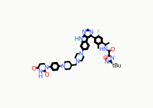 Cc1cc(-c2ncnc3[nH]c4cc(N5CCN(CC6CCN(c7ccc(N8CCC(=O)NC8=O)cc7)CC6)CC5)ccc4c23)c(F)cc1C(C)NC(=O)c1nc(C(C)(C)C)no1